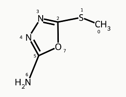 CSc1nnc(N)o1